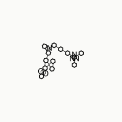 c1ccc(-c2nc(-c3ccccc3)nc(-c3ccc(-c4ccc(-c5cccc(-n6c7ccccc7c7cc(-c8ccc9c(c8)C8(c%10ccccc%10-c%10ccccc%108)c8cc%10c(cc8-9)Oc8ccccc8O%10)ccc76)c5)cc4)cc3)n2)cc1